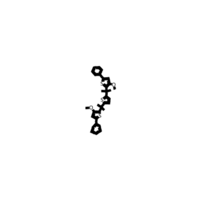 COc1cc(-c2ccccc2)sc1C(C)(C)c1ccc(C(C)(C)c2sc(-c3ccccc3)cc2OC)s1